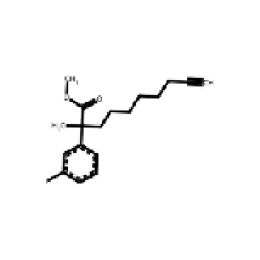 C#CCCCCCCC(C)(C(=O)OC)c1cccc(I)c1